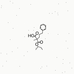 CCC(C)OC(=O)C(C)(CCCc1ccccc1)C(=O)O